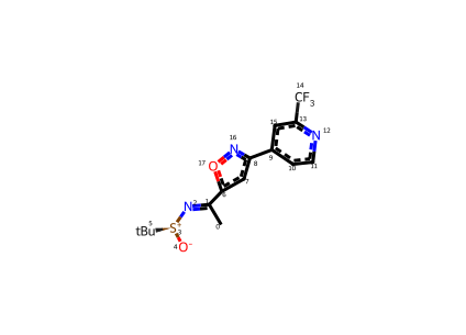 C/C(=N\[S@@+]([O-])C(C)(C)C)c1cc(-c2ccnc(C(F)(F)F)c2)no1